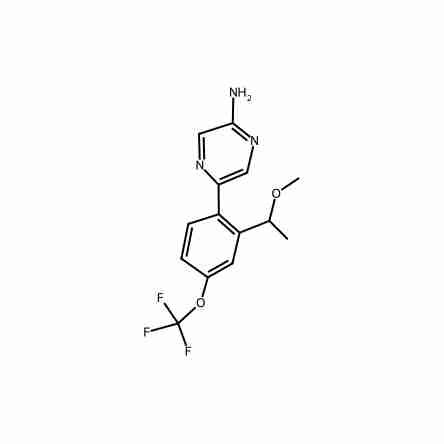 COC(C)c1cc(OC(F)(F)F)ccc1-c1cnc(N)cn1